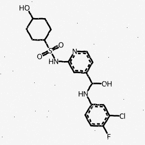 O=S(=O)(Nc1cc(C(O)Nc2ccc(F)c(Cl)c2)ccn1)C1CCC(O)CC1